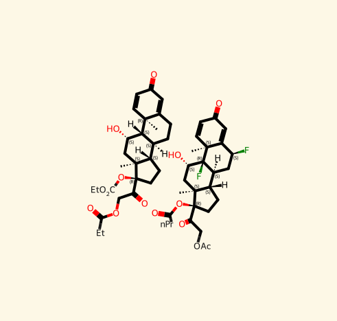 CCCC(=O)O[C@]1(C(=O)COC(C)=O)CC[C@H]2[C@@H]3C[C@H](F)C4=CC(=O)C=C[C@]4(C)[C@@]3(F)[C@@H](O)C[C@@]21C.CCOC(=O)O[C@]1(C(=O)COC(=O)CC)CC[C@H]2[C@@H]3CCC4=CC(=O)C=C[C@]4(C)[C@H]3[C@@H](O)C[C@@]21C